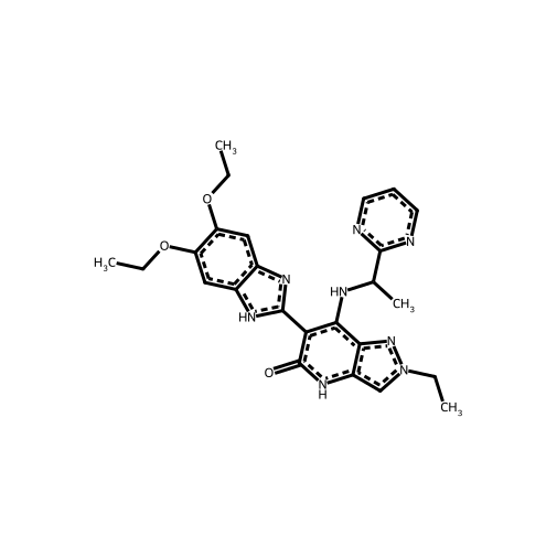 CCOc1cc2nc(-c3c(NC(C)c4ncccn4)c4nn(CC)cc4[nH]c3=O)[nH]c2cc1OCC